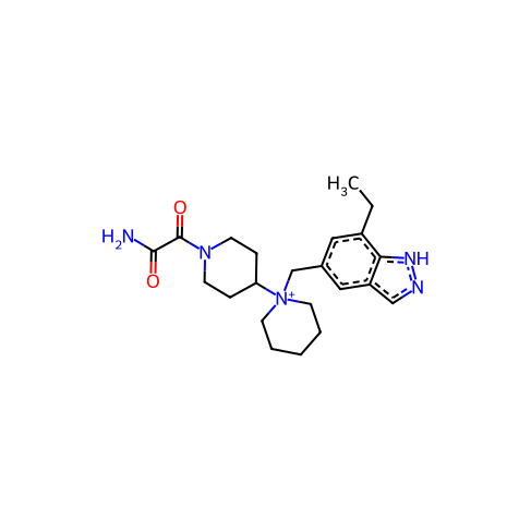 CCc1cc(C[N+]2(C3CCN(C(=O)C(N)=O)CC3)CCCCC2)cc2cn[nH]c12